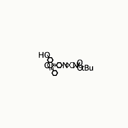 CC(C)(C)OC(=O)N1CCC2(CC1)CN(c1ccc([C@@H]3c4ccc(O)cc4OC[C@@H]3c3ccccc3)cc1)C2